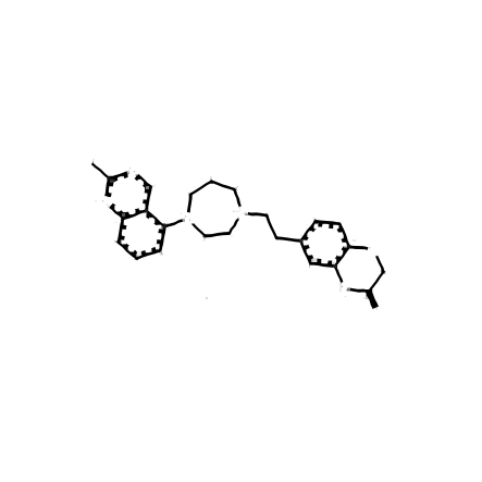 Cc1ncc2c(N3CCCN(CCc4ccc5c(c4)NC(=O)CO5)CC3)cccc2n1.Cl